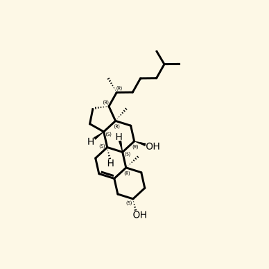 CC(C)CCC[C@@H](C)[C@H]1CC[C@H]2[C@@H]3CC=C4C[C@@H](O)CC[C@]4(C)[C@H]3[C@H](O)C[C@]12C